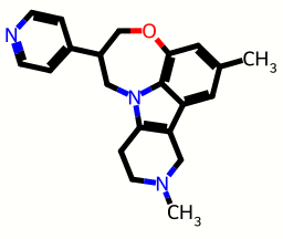 Cc1cc2c3c(c1)c1c(n3CC(c3ccncc3)CO2)CCN(C)C1